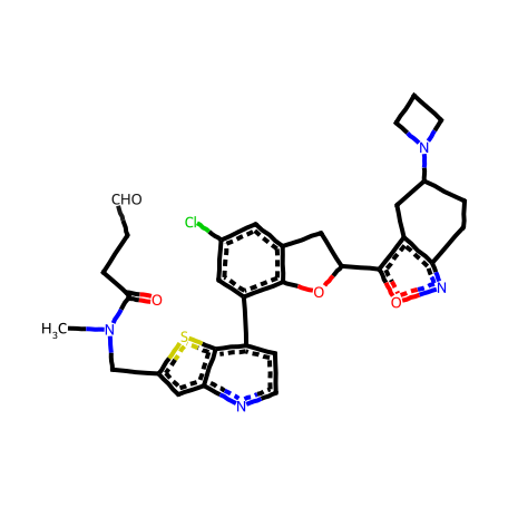 CN(Cc1cc2nccc(-c3cc(Cl)cc4c3OC(c3onc5c3CC(N3CCC3)CC5)C4)c2s1)C(=O)CCC=O